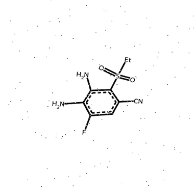 CCS(=O)(=O)c1c(C#N)cc(F)c(N)c1N